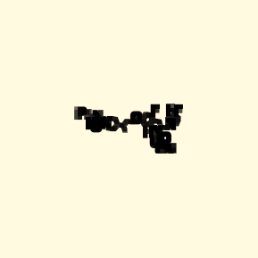 CC(C)c1noc(N2CCC(C(C)CCOc3ccc(C[C@@H](CN4CCC(F)(F)C4)NC(=O)OC(C)(C)C)c(F)c3)CC2)n1